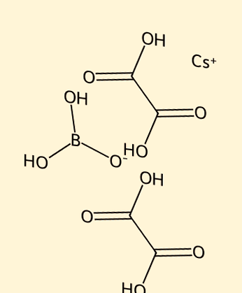 O=C(O)C(=O)O.O=C(O)C(=O)O.[Cs+].[O-]B(O)O